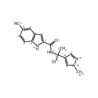 CCC(C)(NC(=O)c1cc2cc(C#N)ccc2[nH]1)c1cnn(C)c1